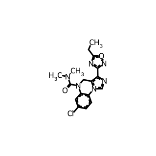 CCc1nc(-c2ncn3c2CN(C(=O)N(C)C)c2cc(Cl)ccc2-3)no1